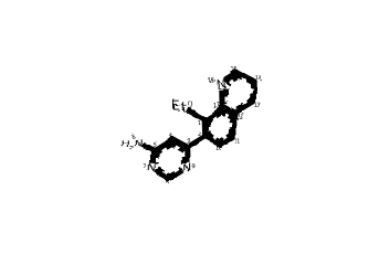 CCc1c(-c2cc(N)ncn2)ccc2cccnc12